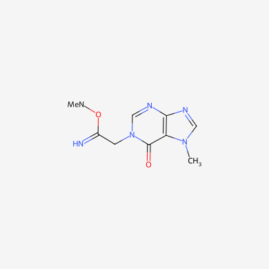 CNOC(=N)Cn1cnc2ncn(C)c2c1=O